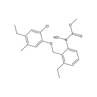 CCc1cc(Cl)c(OCc2c(CC)cccc2N(O)C(=O)OC)cc1C